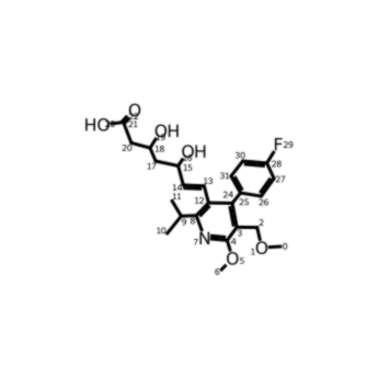 COCc1c(OC)nc(C(C)C)c(C=CC(O)CC(O)CC(=O)O)c1-c1ccc(F)cc1